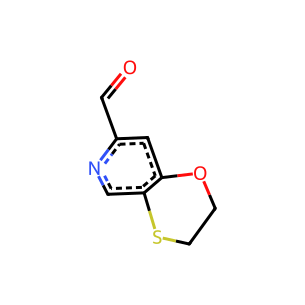 O=Cc1cc2c(cn1)SCCO2